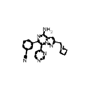 N#Cc1cccc(-c2nc(N)c3cc(CN4CCC4)nn3c2-c2ccncn2)c1